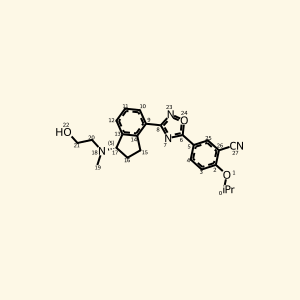 CC(C)Oc1ccc(-c2nc(-c3cccc4c3CC[C@@H]4N(C)CCO)no2)cc1C#N